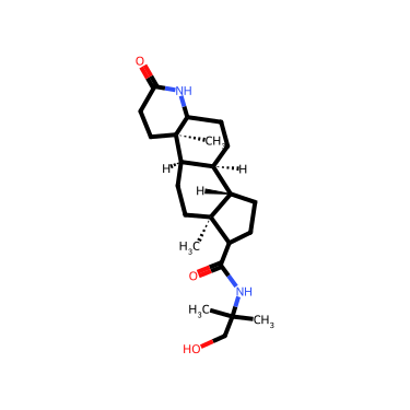 CC(C)(CO)NC(=O)C1CC[C@H]2[C@@H]3CCC4NC(=O)CC[C@]4(C)[C@@H]3CC[C@]12C